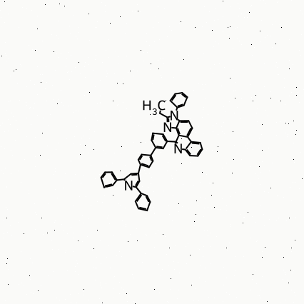 CCc1nc2c3c(-c4cccc(-c5ccc(-c6cc(-c7ccccc7)nc(-c7ccccc7)c6)cc5)c4)nc4ccccc4c3ccc2n1-c1ccccc1